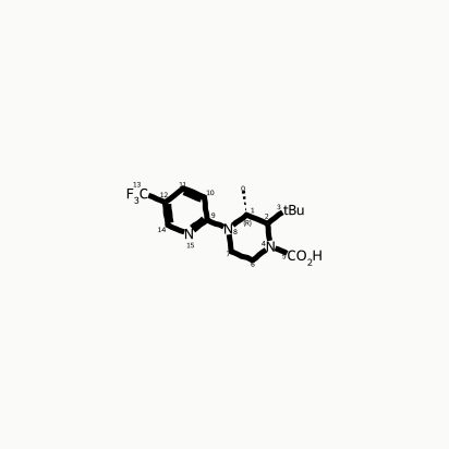 C[C@@H]1C(C(C)(C)C)N(C(=O)O)CCN1c1ccc(C(F)(F)F)cn1